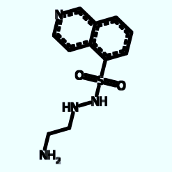 NCCNNS(=O)(=O)c1cccc2cnccc12